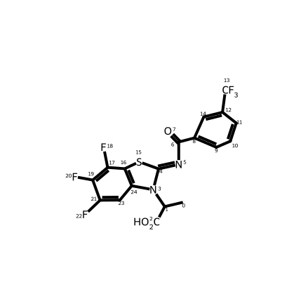 CC(C(=O)O)n1/c(=N/C(=O)c2cccc(C(F)(F)F)c2)sc2c(F)c(F)c(F)cc21